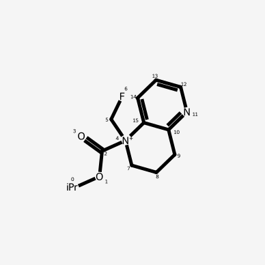 CC(C)OC(=O)[N+]1(CF)CCCc2ncccc21